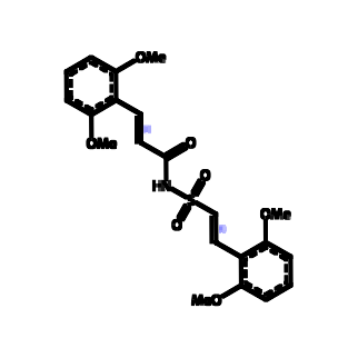 COc1cccc(OC)c1/C=C/C(=O)NS(=O)(=O)/C=C/c1c(OC)cccc1OC